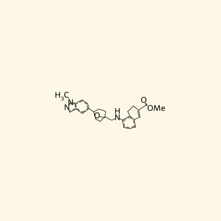 COC(=O)C1=Cc2cccc(NCC34CCC(c5ccc6c(cnn6C)c5)(CC3)OC4)c2CC1